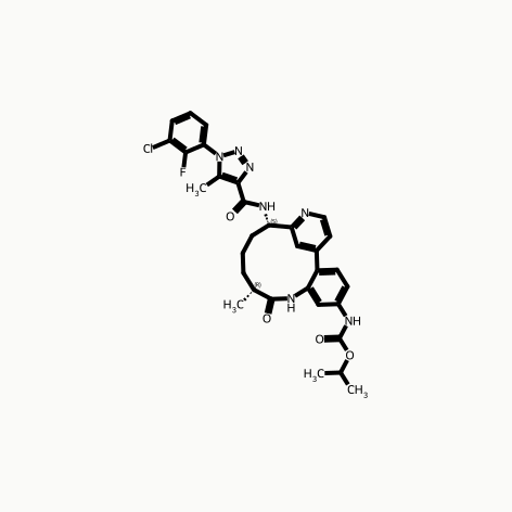 Cc1c(C(=O)N[C@H]2CCC[C@@H](C)C(=O)Nc3cc(NC(=O)OC(C)C)ccc3-c3ccnc2c3)nnn1-c1cccc(Cl)c1F